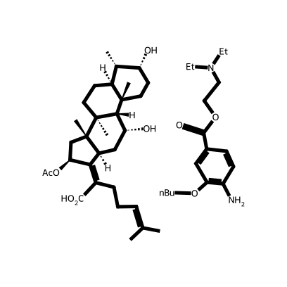 CC(=O)O[C@H]1C[C@@]2(C)[C@@H](C[C@@H](O)[C@H]3[C@@]4(C)CC[C@@H](O)[C@@H](C)[C@@H]4CC[C@@]32C)/C1=C(\CCC=C(C)C)C(=O)O.CCCCOc1cc(C(=O)OCCN(CC)CC)ccc1N